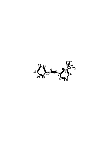 C[S+]([O-])c1cncc(C#Cc2ccccc2)c1